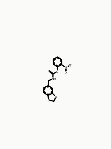 O=C(NCc1ccc2c(c1)OCO2)Oc1ccccc1[N+](=O)[O-]